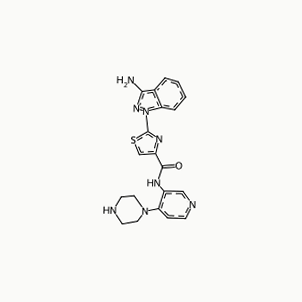 Nc1nn(-c2nc(C(=O)Nc3cnccc3N3CCNCC3)cs2)c2ccccc12